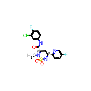 CN1[C@H](C(=O)Nc2ccc(F)c(Cl)c2)C[C@H](c2ccc(F)cn2)NS1(=O)=O